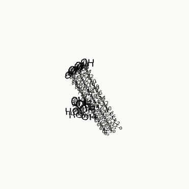 CCCCCCCCCCCCCCCCCCCCCCCCCCCC(=O)O.CCCCCCCCCCCCCCCCCCCCCCCCCCCC(=O)O.CCCCCCCCCCCCCCCCCCCCCCCCCCCC(=O)O.OC[C@@H](O)[C@@H](O)[C@H](O)[C@@H](O)CO